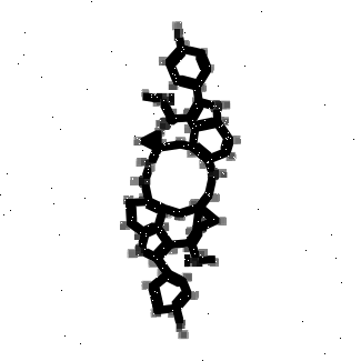 CNC(=O)c1c(-c2ccc(F)cc2)oc2ccc3c(c12)CC1(CC1)COc1ccc2oc(-c4ccc(F)cc4)c(C(=O)NC)c2c1CC1(CC1)CO3